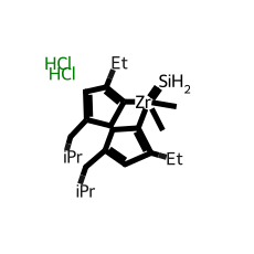 CCC1=[C]([Zr]([CH3])([CH3])(=[SiH2])[C]2=C(CC)C=C(CC(C)C)C2)CC(CC(C)C)=C1.Cl.Cl